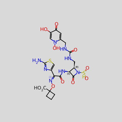 Nc1nc(/C(=N/OC2(C(=O)O)CCC2)C(=O)N[C@@H]2C(=O)N([SH](=O)=O)[C@@H]2CNC(=O)NCc2cc(=O)c(O)cn2O)cs1